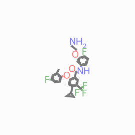 Cc1cc(F)ccc1Oc1cc(C2CC2)c(C(F)(F)F)cc1C(=O)Nc1ccc(F)c(OCCN)c1